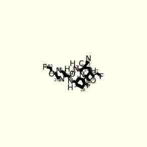 C[C@@]1(C#N)C[C@@H]2[C@@H](CF)OC[C@]2(c2cc(NC(=O)c3cnc(OCF)cn3)ccc2F)N=C1N